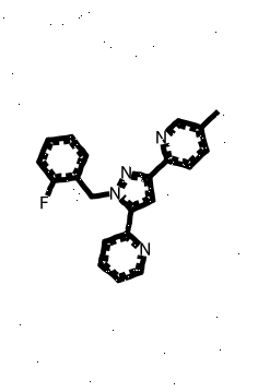 Cc1ccc(-c2cc(-c3ccccn3)n(Cc3ccccc3F)n2)nc1